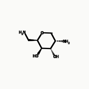 NC[C@H]1O[CH][C@H](N)[C@H](O)[C@H]1O